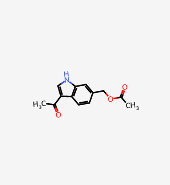 CC(=O)OCc1ccc2c(C(C)=O)c[nH]c2c1